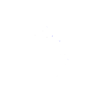 Cc1ccc(S(=O)(=O)Nc2ccc(NC(=O)N[C@H](Cc3ccc(Cl)cc3)C(=O)NC3CCCCCC3)cc2)cc1